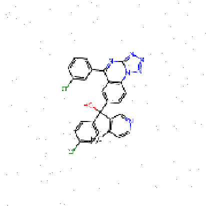 Cc1ccncc1C(O)(c1ccc(Cl)cc1)c1ccc2c(c1)c(-c1cccc(Cl)c1)nc1nnnn12